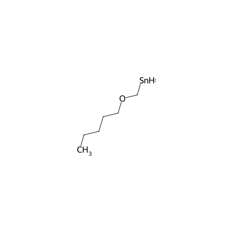 CCCCCO[CH2][SnH]